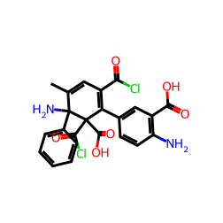 CC1=CC(C(=O)Cl)=C(c2ccc(N)c(C(=O)O)c2)C(C(=O)O)(C(=O)Cl)C1(N)c1ccccc1